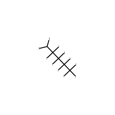 IC(I)C(I)(I)C(I)(I)C(I)(I)C(I)(I)I